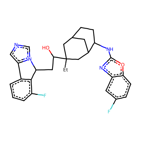 CCC1(C(O)CC2c3c(F)cccc3-c3cncn32)CC2CCC(Nc3nc4cc(F)ccc4o3)C(C2)C1